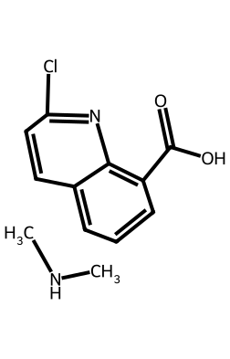 CNC.O=C(O)c1cccc2ccc(Cl)nc12